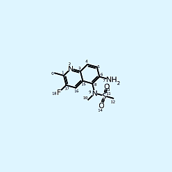 Cc1nc2ccc(N)c(N(C)S(C)(=O)=O)c2cc1F